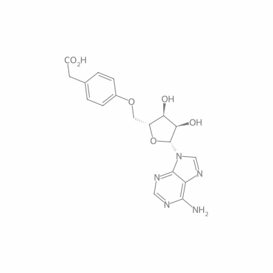 Nc1ncnc2c1ncn2[C@@H]1O[C@H](COc2ccc(CC(=O)O)cc2)[C@@H](O)[C@H]1O